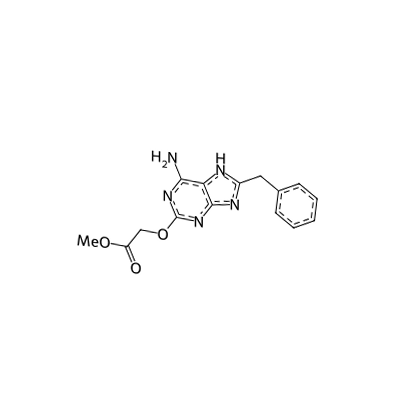 COC(=O)COc1nc(N)c2[nH]c(Cc3ccccc3)nc2n1